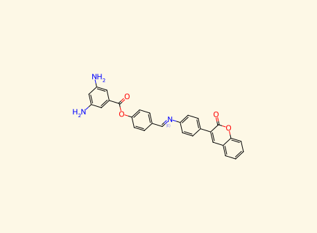 Nc1cc(N)cc(C(=O)Oc2ccc(/C=N/c3ccc(-c4cc5ccccc5oc4=O)cc3)cc2)c1